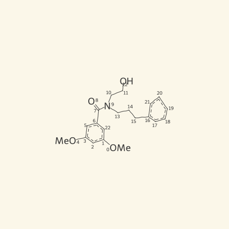 COc1cc(OC)cc(C(=O)N(CCO)CCCc2ccccc2)c1